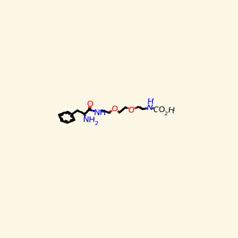 NC(Cc1ccccc1)C(=O)NCCOCCOCCNC(=O)O